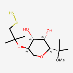 COC(C)(C)[C@@H]1OC[C@@H](OC(C)(C)CSS)[C@H](O)[C@@H]1O